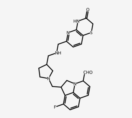 O=CC1C=Cc2ccc(F)c3c2N1CC3CN1CCC(CNCc2ccc3c(n2)NC(=O)CS3)C1